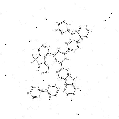 CC1(C)c2ccccc2-c2c(-c3nc(-c4ccc5c(c4)oc4cccc(-c6ccc(-c7ccccc7)cc6)c45)nc(-c4ccc5c6ccccc6n(-c6ccccc6)c5c4)n3)cccc21